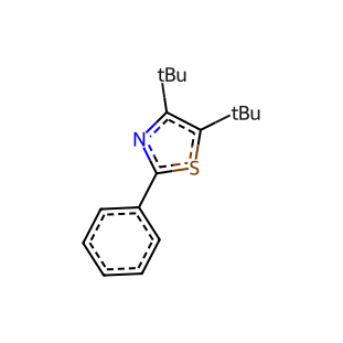 CC(C)(C)c1nc(-c2ccccc2)sc1C(C)(C)C